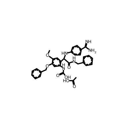 CC(=O)O.COc1cc(C(Nc2ccc(C(=N)N)cc2)C(=O)NCc2ccccc2)c(NC(=O)O)cc1OCc1ccccc1